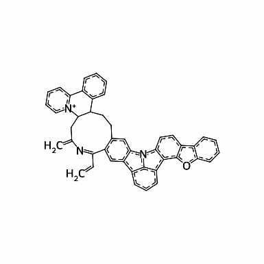 C=C/C1=N/C(=C)CC2C(CCc3cc4c(cc31)c1cccc3c5c6oc7ccccc7c6ccc5n4c13)c1ccccc1-c1cccc[n+]12